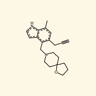 C#CCc1cc(C)c2[nH]ccc2c1CN1CCC2(CCCO2)CC1